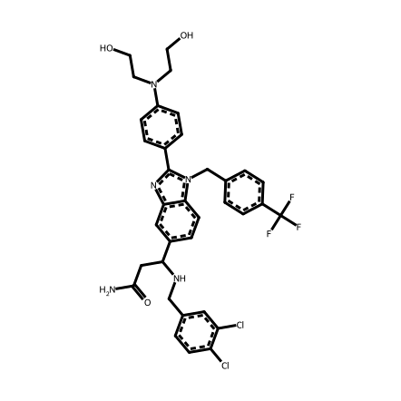 NC(=O)CC(NCc1ccc(Cl)c(Cl)c1)c1ccc2c(c1)nc(-c1ccc(N(CCO)CCO)cc1)n2Cc1ccc(C(F)(F)F)cc1